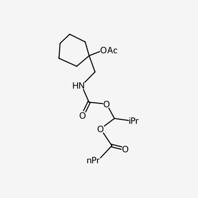 CCCC(=O)OC(OC(=O)NCC1(OC(C)=O)CCCCC1)C(C)C